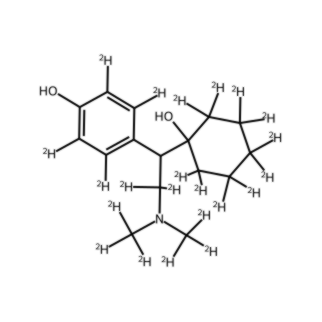 [2H]c1c([2H])c(C(C([2H])([2H])N(C([2H])([2H])[2H])C([2H])([2H])[2H])C2(O)C([2H])([2H])C([2H])([2H])C([2H])([2H])C([2H])([2H])C2([2H])[2H])c([2H])c([2H])c1O